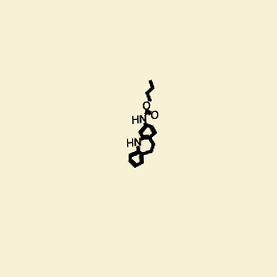 CCCCOC(=O)Nc1ccc2c(c1)Nc1ccccc1CC2